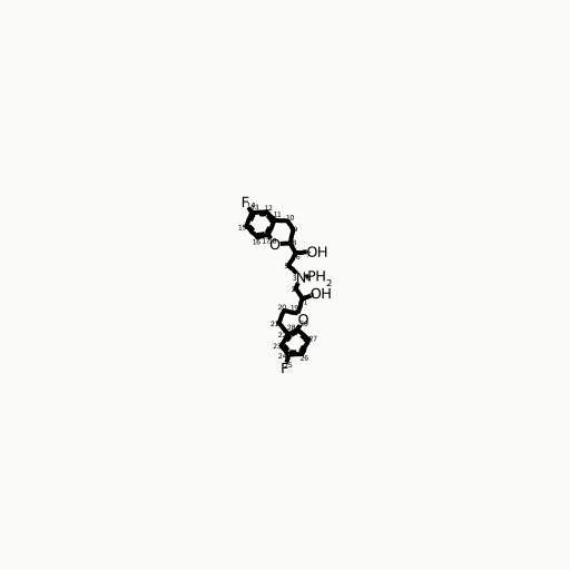 OC(CN(P)CC(O)C1CCc2cc(F)ccc2O1)C1CCc2cc(F)ccc2O1